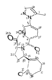 Cc1ccnn1-c1ccc(C(=O)N2[C@@H](c3ccccc3Cl)CC[C@H]2C(=O)O)cc1